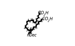 CC/C=C\C/C=C\C/C=C\C/C=C\C/C=C\CCCCC(=O)O.CCCCCCCCCCCC=CC=CC=CC=CC=CC(=O)O